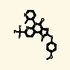 COc1ccc(Sc2nc3c(=O)n(-c4cccnc4C)c4nc(C(F)(F)F)ccc4c3n2C)cc1